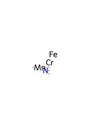 [Cr].[Fe].[Mn].[N]